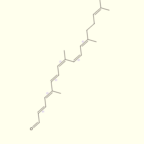 CC(C)=CCC/C(C)=C/C=C\C(C)=C/C=C/C(C)=C/C=C/C=O